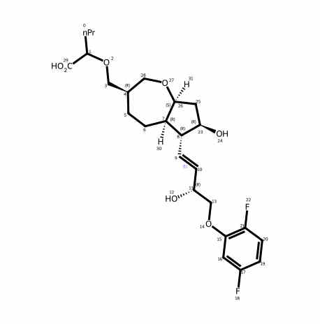 CCCC(OC[C@@H]1CC[C@@H]2[C@@H](/C=C/[C@@H](O)COc3cc(F)ccc3F)[C@H](O)C[C@@H]2OC1)C(=O)O